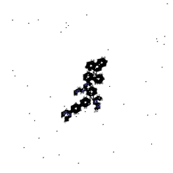 C=C/C=C(\C=C/C)c1ccc(-c2ccc(N(/C(C=C)=C/C=C\C)c3cccc(C(=C/C=C\C)/C=C(\C)c4cccc5c4c4ccccc4n5-c4cc5ccccc5c5ccccc45)c3)cc2)cc1